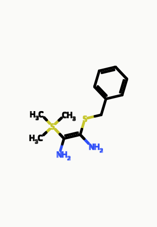 CS(C)(C)/C(N)=C(/N)SCc1ccccc1